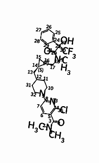 CN(C)C(=O)c1ccc(N2CCC(C[C@H]3C[C@H]3CN(C)C(=O)C(O)(c3ccccc3)C(F)(F)F)CC2)nc1Cl